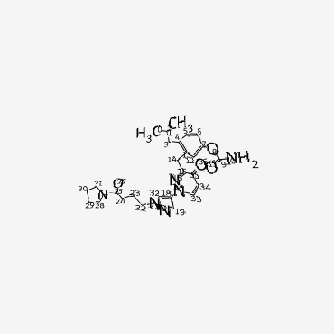 CC(C)Cc1ccc(OC(N)=O)cc1Cc1nn(-c2cnn(CCCC(=O)N3CCCC3)c2)ccc1=O